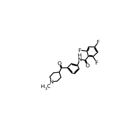 CN1CCC(C(=O)c2cccc(NC(=O)c3c(F)cc(F)cc3F)c2)CC1